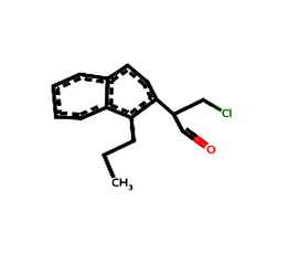 CCCc1c(C(C=O)CCl)ccc2ccccc12